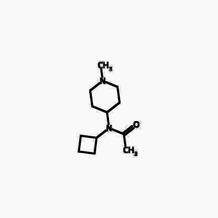 CC(=O)N(C1CCC1)C1CCN(C)CC1